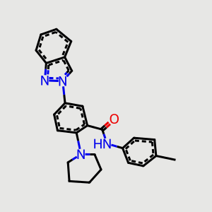 Cc1ccc(NC(=O)c2cc(-n3cc4ccccc4n3)ccc2N2CCCCC2)cc1